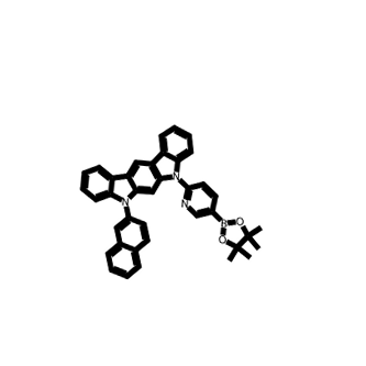 CC1(C)OB(c2ccc(-n3c4ccccc4c4cc5c6ccccc6n(-c6ccc7ccccc7c6)c5cc43)nc2)OC1(C)C